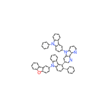 c1ccc(-c2ccc3c(c2-c2cnc4c5ncccc5n(-c5ccc6c(c5)c5ccccc5n6-c5ccccc5)c4c2)c2ccccc2n3-c2ccc3oc4ccccc4c3c2)cc1